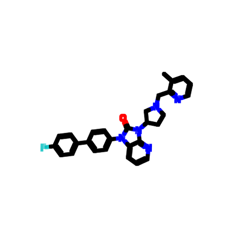 Cc1cccnc1CN1CCC(n2c(=O)n(-c3ccc(-c4ccc(F)cc4)cc3)c3cccnc32)C1